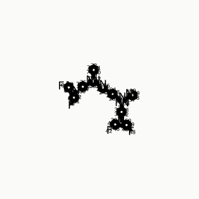 Fc1ccc2c(c1)c1cc(F)ccc1n2-c1ccc(-c2cc(-c3ccc(-c4ccc(-c5nc(-c6ccc(-n7c8ccc(F)cc8c8cc(F)ccc87)cc6)nc(-c6ccccn6)n5)cc4)cn3)nc(-c3ccccc3)n2)cc1